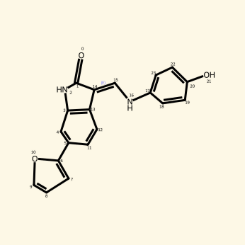 O=C1Nc2cc(-c3ccco3)ccc2/C1=C\Nc1ccc(O)cc1